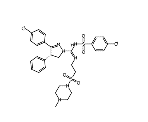 CN1CCN(S(=O)(=O)CC/N=C(/NS(=O)(=O)c2ccc(Cl)cc2)N2C[C@H](c3ccccc3)C(c3ccc(Cl)cc3)=N2)CC1